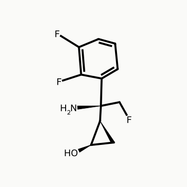 N[C@](CF)(c1cccc(F)c1F)[C@H]1C[C@H]1O